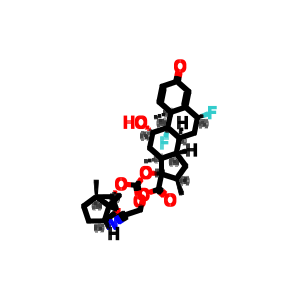 C[C@@H]1C[C@H]2[C@@H]3C[C@H](F)C4=CC(=O)C=C[C@]4(C)[C@@]3(F)[C@@H](O)C[C@]2(C)[C@@]1(OC(=O)O[C@@H]1C[C@@H]2CC[C@@]1(C)C2(C)C)C(=O)OCC#N